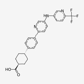 O=C(O)[C@H]1CC[C@H](c2ccc(-c3ccc(Nc4ccc(C(F)(F)F)nc4)cn3)cc2)CC1